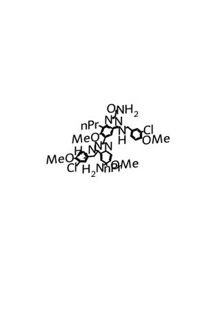 CCCc1c(OC)c(C2=NC(N)(Cc3ccc(OC)c(Cl)c3)C3=CC(N)(CCC)C(OC)=CC3=N2)cc2c(NCc3ccc(OC)c(Cl)c3)nc(C(N)=O)nc12